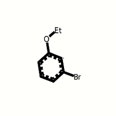 CCOc1[c]c(Br)ccc1